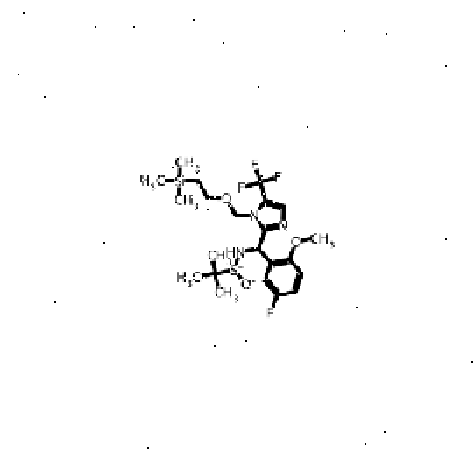 COc1ccc(F)cc1C(N[S+]([O-])C(C)(C)C)c1ncc(C(F)(F)F)n1COCC[Si](C)(C)C